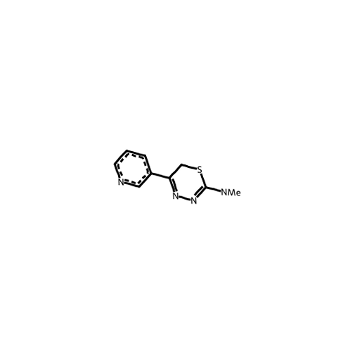 CNC1=NN=C(c2cccnc2)CS1